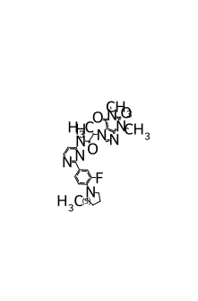 CC(C(=O)Nc1ccnc(-c2ccc(N3CCC[C@@H]3C)c(F)c2)n1)n1cnc2c1c(=O)n(C)c(=O)n2C